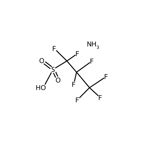 N.O=S(=O)(O)C(F)(F)C(F)(F)C(F)(F)F